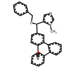 Cn1cncc1[C@H](OCc1ccccc1)c1ccc(C#N)c(-c2ccccc2-c2ccccc2)c1